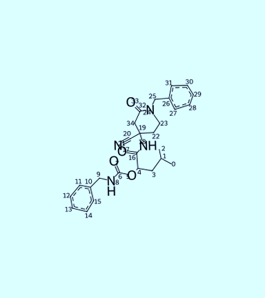 CC(C)CC(OC(=O)NCc1ccccc1)C(=O)NC1(C#N)CCN(Cc2ccccc2)C(=O)C1